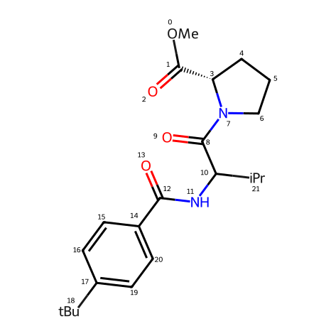 COC(=O)[C@@H]1CCCN1C(=O)C(NC(=O)c1ccc(C(C)(C)C)cc1)C(C)C